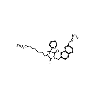 CCOC(=O)CCCCCCN1C(=O)N(Cc2ccc3ccc(C=NN)cc3c2)C(=O)C1(C)c1ccccc1